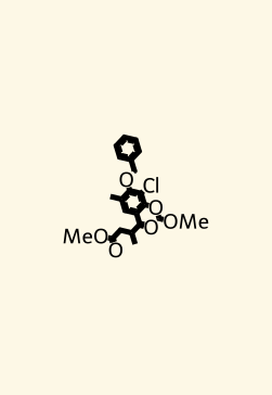 COCOc1c(C(=O)C(C)CC(=O)OC)cc(C)c(OCc2ccccc2)c1Cl